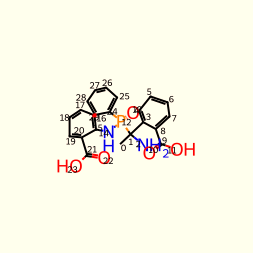 CC(N)(c1ccccc1C(=O)O)P(=O)(Nc1ccccc1C(=O)O)c1ccccc1